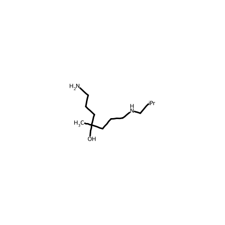 CC(C)CNCCCC(C)(O)CCCN